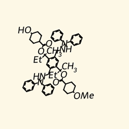 CCC(C)(OC(=O)C1CCC(O)CC1)c1cc(CNN(c2ccccc2)c2ccccc2)c([C@@](C)(CC)OC(=O)C2CCC(OC)CC2)cc1CNN(c1ccccc1)c1ccccc1